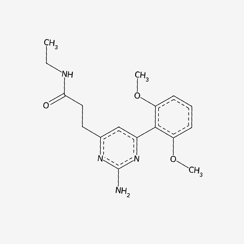 CCNC(=O)CCc1cc(-c2c(OC)cccc2OC)nc(N)n1